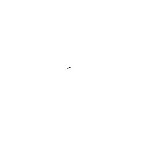 NC1CN1C(=O)[C@@H](N)Cc1ccc(O)cc1